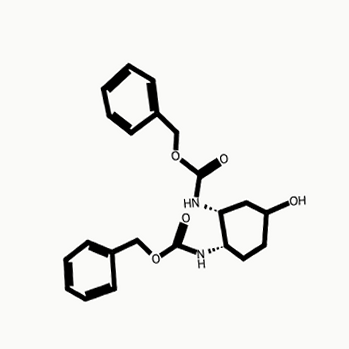 O=C(N[C@H]1CCC(O)C[C@H]1NC(=O)OCc1ccccc1)OCc1ccccc1